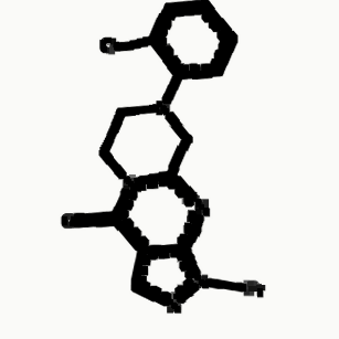 CC(C)n1ncc2c(=O)n3c(nc21)CN(c1ccccc1Cl)CC3